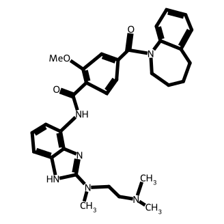 COc1cc(C(=O)N2CCCCc3ccccc32)ccc1C(=O)Nc1cccc2[nH]c(N(C)CCN(C)C)nc12